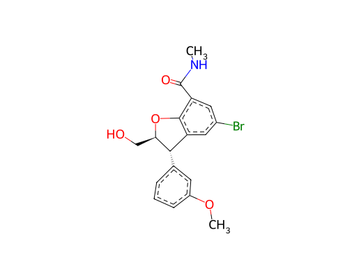 CNC(=O)c1cc(Br)cc2c1O[C@H](CO)[C@H]2c1cccc(OC)c1